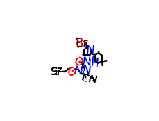 CC1(C)CC=C(c2nc(Br)ccc2NC(=O)c2nc(C#N)cn2COCC[Si](C)(C)C)CC1